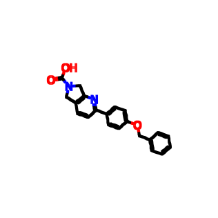 O=C(O)N1Cc2ccc(-c3ccc(OCc4ccccc4)cc3)nc2C1